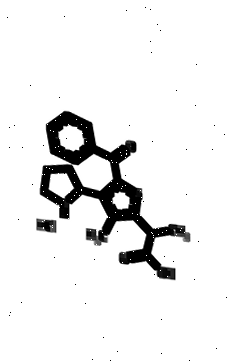 Cc1c(C(C)C(=O)O)sc(C(=O)c2ccccc2)c1C1CCCN1.Cl